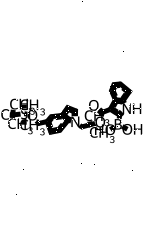 CC(C)(Cn1ccc2cc(CO[Si](C)(C)C(C)(C)C)ccc21)OC(=O)c1c(B(O)O)[nH]c2ccccc12